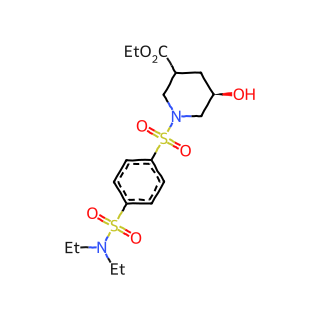 CCOC(=O)C1C[C@@H](O)CN(S(=O)(=O)c2ccc(S(=O)(=O)N(CC)CC)cc2)C1